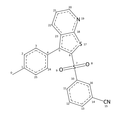 Cc1ccc(-c2c(S(=O)(=O)c3cccc(C#N)c3)sc3ncccc23)cc1